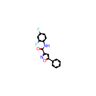 O=C(Nc1ccc(F)cc1F)c1cc(-c2ccccc2)on1